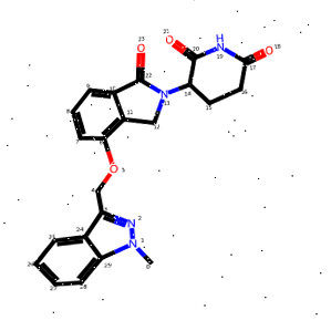 Cn1nc(COc2cccc3c2CN(C2CCC(=O)NC2=O)C3=O)c2ccccc21